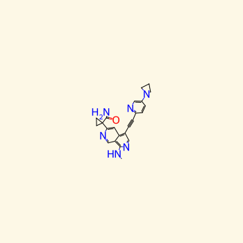 CNc1ncc(C#Cc2ccc(N3CCC3)cn2)c2cc(C3(C(N)=O)CC3)ncc12